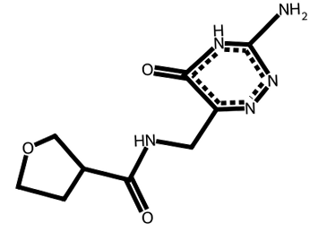 Nc1nnc(CNC(=O)C2CCOC2)c(=O)[nH]1